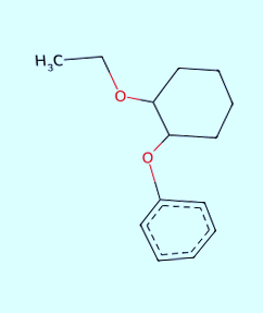 CCOC1CCCCC1Oc1ccccc1